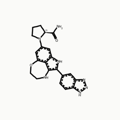 NC(=O)[C@@H]1CCCN1c1cc2c3c(c(-c4ccc5[nH]nnc5c4)[nH]c3c1)NCCO2